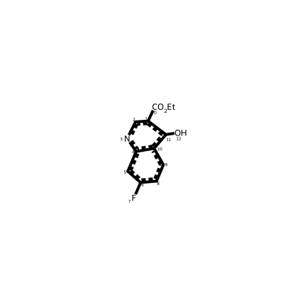 CCOC(=O)c1cnc2cc(F)ccc2c1O